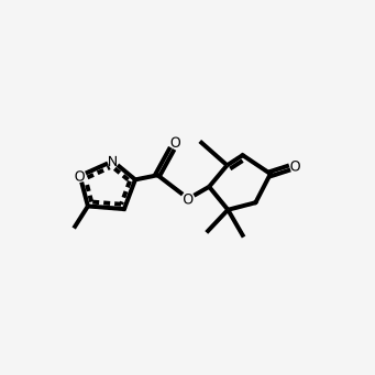 CC1=CC(=O)CC(C)(C)C1OC(=O)c1cc(C)on1